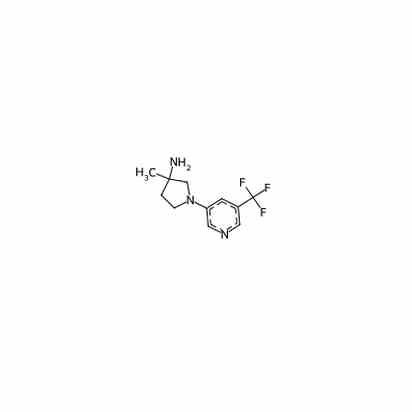 CC1(N)CCN(c2cncc(C(F)(F)F)c2)C1